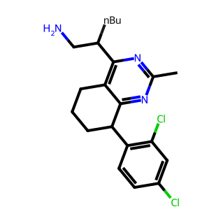 CCCCC(CN)c1nc(C)nc2c1CCCC2c1ccc(Cl)cc1Cl